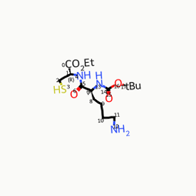 CCOC(=O)[C@H](CS)NC(=O)[C@H](CCCCN)NC(=O)OC(C)(C)C